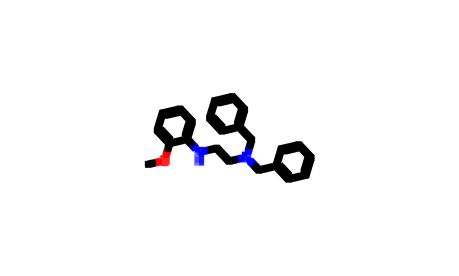 COc1ccccc1NCCN(Cc1ccccc1)Cc1ccccc1